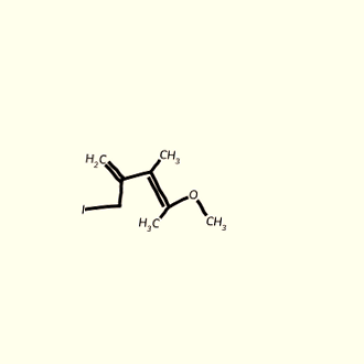 C=C(CI)/C(C)=C(\C)OC